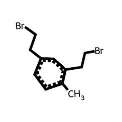 Cc1ccc(CCBr)cc1CCBr